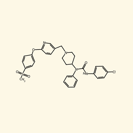 CS(=O)(=O)c1ccc(Oc2ccc(CN3CCC(N(C(=O)Nc4ccc(Cl)cc4)c4ccccc4)CC3)cn2)cc1